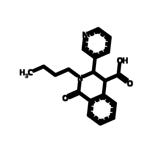 CCCCN1C(=O)c2ccccc2C(C(=O)O)C1c1cccnc1